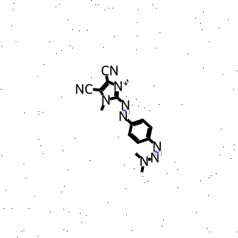 CN(C)/N=N\c1ccc(/N=N/c2n(C)c(C#N)c(C#N)[n+]2C)cc1